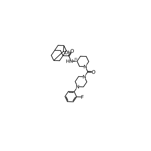 O=C(N1CCN(c2ccccc2F)CC1)N1CCC[C@H](NC(=O)C23CC4CC(C2)C(O)C(C4)C3)C1